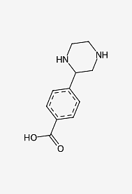 O=C(O)c1ccc(C2CNCCN2)cc1